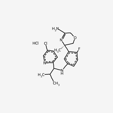 CC(C)C(Nc1ccc(F)c([C@]2(C)COCC(N)=N2)c1)c1ccc(Cl)cn1.Cl